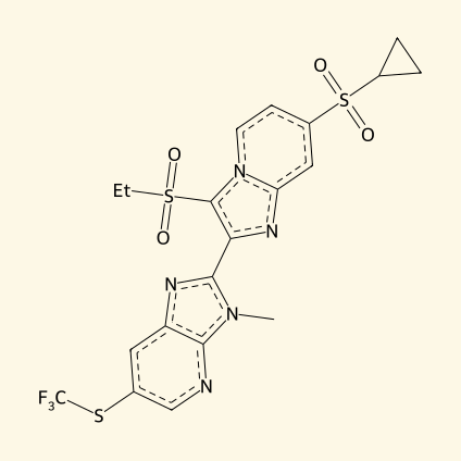 CCS(=O)(=O)c1c(-c2nc3cc(SC(F)(F)F)cnc3n2C)nc2cc(S(=O)(=O)C3CC3)ccn12